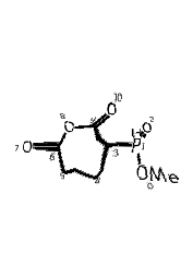 CO[PH](=O)C1CCC(=O)OC1=O